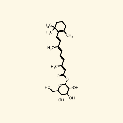 CC1=C(/C=C/C(C)=C/C=C/C(C)=C/C(=O)O[C@@H]2O[C@H](CO)[C@@H](O)[C@H](O)[C@H]2O)C(C)(C)CCC1